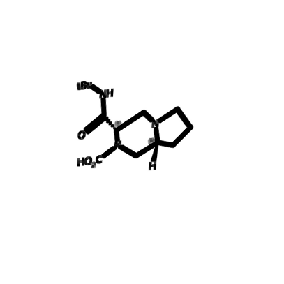 CC(C)(C)NC(=O)[C@@H]1CN2CCC[C@@H]2CN1C(=O)O